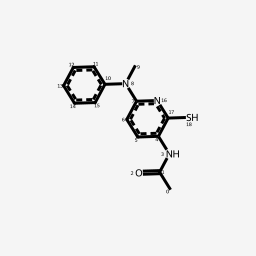 CC(=O)Nc1ccc(N(C)c2ccccc2)nc1S